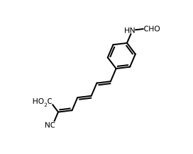 N#CC(=CC=CC=Cc1ccc(NC=O)cc1)C(=O)O